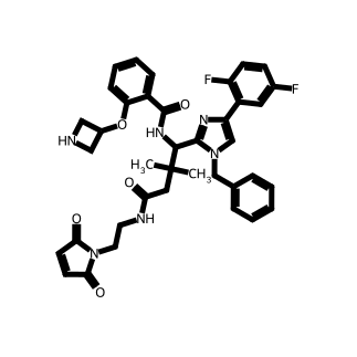 CC(C)(CC(=O)NCCN1C(=O)C=CC1=O)C(NC(=O)c1ccccc1OC1CNC1)c1nc(-c2cc(F)ccc2F)cn1Cc1ccccc1